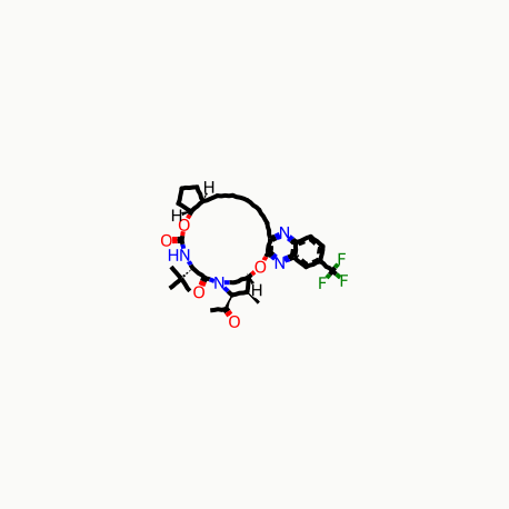 CC(=O)[C@@H]1[C@H](C)[C@@H]2CN1C(=O)[C@H](C(C)(C)C)NC(=O)O[C@@H]1CCC[C@H]1CCCCCc1nc3ccc(C(F)(F)F)cc3nc1O2